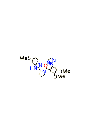 COc1cc(C(=O)N2CCCC2c2nc3ccc(SC)cc3[nH]2)c(-n2nccn2)cc1OC